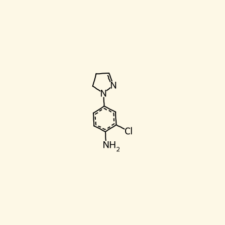 Nc1ccc(N2CCC=N2)cc1Cl